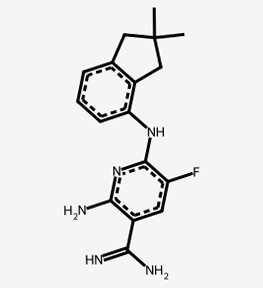 CC1(C)Cc2cccc(Nc3nc(N)c(C(=N)N)cc3F)c2C1